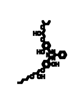 CCCCCOCC(O)COc1ccc(-c2nc(-c3ccccc3)nc(-c3ccc(OCC(O)COC(C)CC)cc3O)n2)c(O)c1